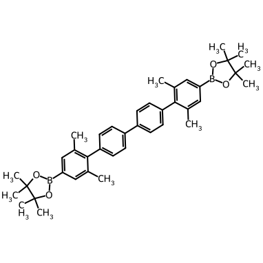 Cc1cc(B2OC(C)(C)C(C)(C)O2)cc(C)c1-c1ccc(-c2ccc(-c3c(C)cc(B4OC(C)(C)C(C)(C)O4)cc3C)cc2)cc1